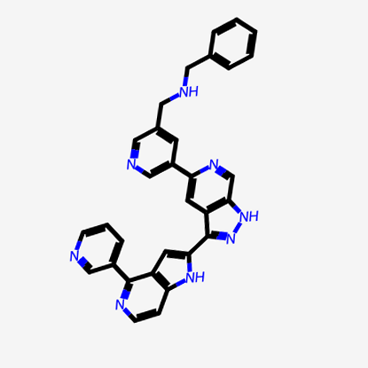 c1ccc(CNCc2cncc(-c3cc4c(-c5cc6c(-c7cccnc7)nccc6[nH]5)n[nH]c4cn3)c2)cc1